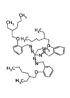 CCCCC(CC)COc1ccccc1CN=NC(C[SiH3])(N=NCc1ccccc1OCC(CC)CCCC)N=NCc1ccccc1OCC(CC)CCCC